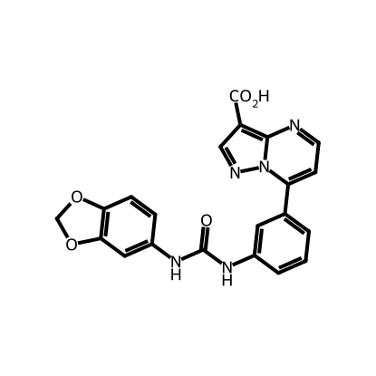 O=C(Nc1cccc(-c2ccnc3c(C(=O)O)cnn23)c1)Nc1ccc2c(c1)OCO2